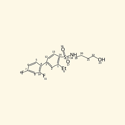 CCc1cc(-c2ccc(F)cc2F)ccc1S(=O)(=O)NCCCCO